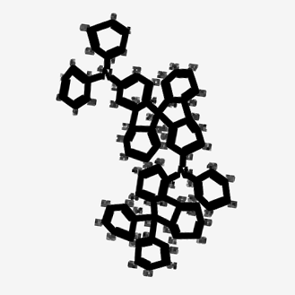 c1ccc(N(c2ccccc2)c2ccc3c(c2)-c2ccccc2C32c3ccccc3-c3ccc(N(c4ccccc4)c4cccc5c4-c4ccccc4C5(c4ccccc4)c4ccccc4)cc32)cc1